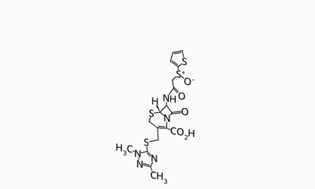 Cc1nc(SCC2=C(C(=O)O)N3C(=O)C(NC(=O)C[S+]([O-])c4cccs4)[C@H]3SC2)n(C)n1